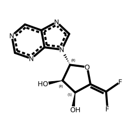 O[C@@H]1[C@H](O)C(=C(F)F)O[C@H]1n1cnc2cncnc21